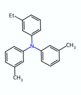 CCc1cccc(N(c2cccc(C)c2)c2cccc(C)c2)c1